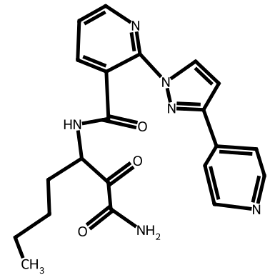 CCCCC(NC(=O)c1cccnc1-n1ccc(-c2ccncc2)n1)C(=O)C(N)=O